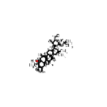 CC1(C)CC[C@]2(CN(NC(=O)OC(C)(C)C)C(=O)CCCl)CC[C@]3(C)[C@H](C(=O)C=C4[C@@]5(C)Cc6cnoc6C(C)(C)[C@@H]5CC[C@]43C)[C@@H]2C1